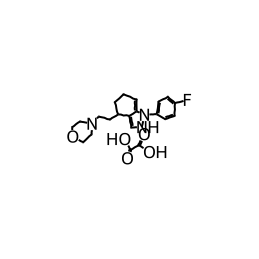 Fc1ccc(N2NC=C3C2=CCCC3CCN2CCOCC2)cc1.O=C(O)C(=O)O